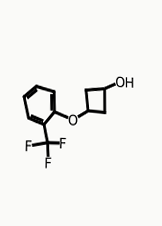 OC1CC(Oc2ccccc2C(F)(F)F)C1